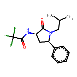 CC(C)CN1C(=O)[C@H](NC(=O)C(F)(F)F)C[C@@H]1c1ccccc1